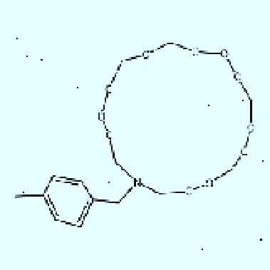 Cc1ccc(CN2CCOCCOCCOCCOCCOCC2)cc1